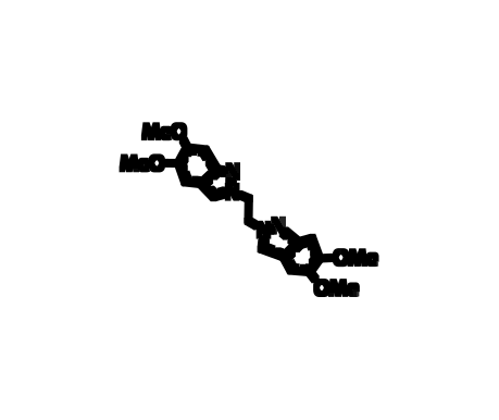 COc1cc2cn(CCn3cc4cc(OC)c(OC)cc4n3)nc2cc1OC